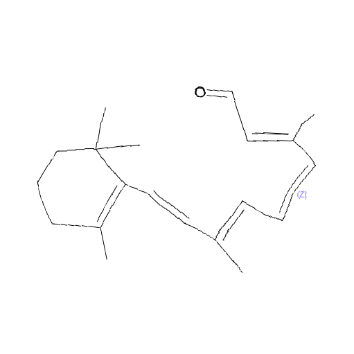 CC(C=CC1=C(C)CCCC1(C)C)=C/C=C\C(C)=CC=O